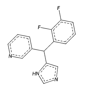 Fc1cccc(C(c2cccnc2)c2cnc[nH]2)c1F